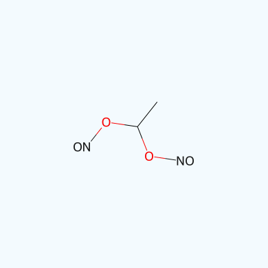 CC(ON=O)ON=O